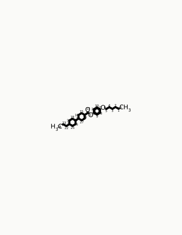 CCCCCCOc1ccc(OC(=O)C2CCC(C3CCC(CCC)CC3)CC2)cc1